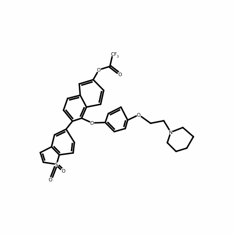 O=C(Oc1ccc2c(Oc3ccc(OCCN4CCCCC4)cc3)c(-c3ccc4c(c3)C=CS4(=O)=O)ccc2c1)C(F)(F)F